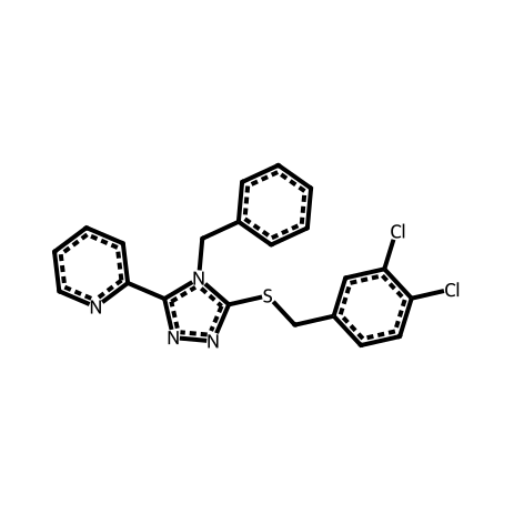 Clc1ccc(CSc2nnc(-c3ccccn3)n2Cc2ccccc2)cc1Cl